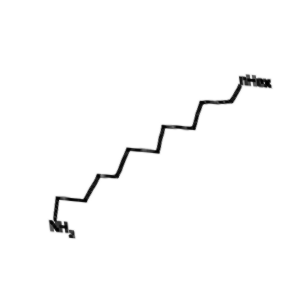 [CH2]CCCCCCCCCCCCCCCN